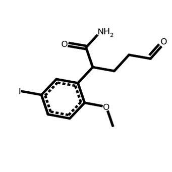 COc1ccc(I)cc1C(CCC=O)C(N)=O